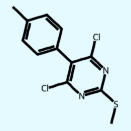 CSc1nc(Cl)c(-c2ccc(C)cc2)c(Cl)n1